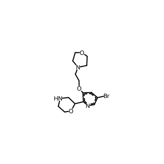 Brc1cnc(C2CNCCO2)c(OCCN2CCOCC2)c1